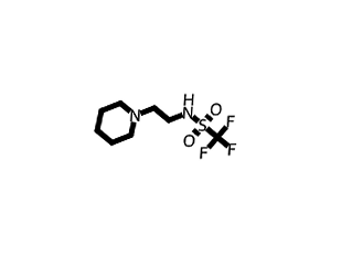 O=S(=O)(NCCN1CCCCC1)C(F)(F)F